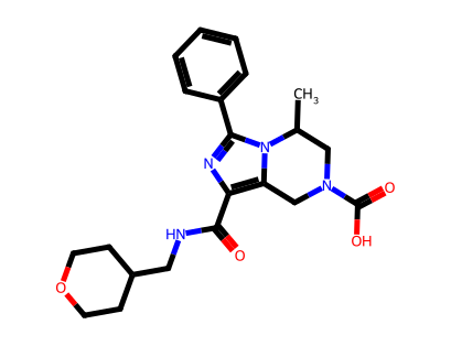 CC1CN(C(=O)O)Cc2c(C(=O)NCC3CCOCC3)nc(-c3ccccc3)n21